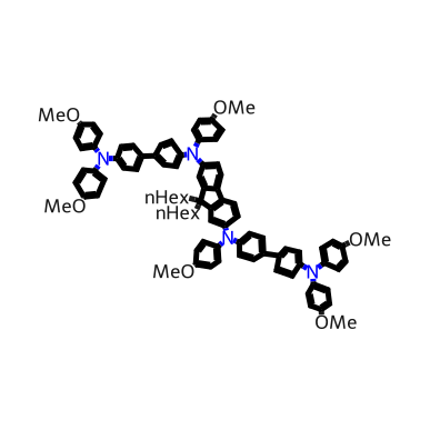 CCCCCCC1(CCCCCC)c2cc(N(c3ccc(OC)cc3)c3ccc(-c4ccc(N(c5ccc(OC)cc5)c5ccc(OC)cc5)cc4)cc3)ccc2-c2ccc(N(c3ccc(OC)cc3)c3ccc(-c4ccc(N(c5ccc(OC)cc5)c5ccc(OC)cc5)cc4)cc3)cc21